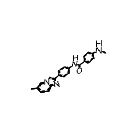 CNc1ccc(C(=O)Nc2ccc(-c3cn4cc(C)ccc4n3)cc2)cc1